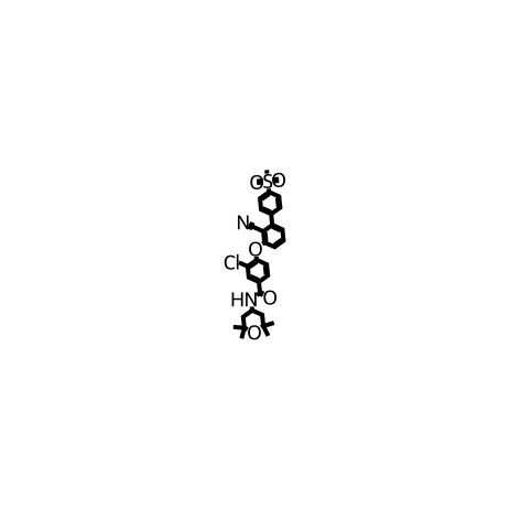 CC1(C)CC(NC(=O)c2ccc(Oc3cccc(-c4ccc(S(C)(=O)=O)cc4)c3C#N)c(Cl)c2)CC(C)(C)O1